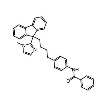 Cn1ccnc1C1(CCCCc2ccc(NC(=O)c3ccccc3)cc2)c2ccccc2-c2ccccc21